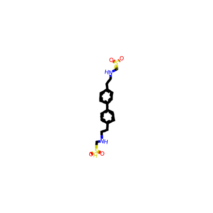 O=[SH](=O)CNCCc1ccc(-c2ccc(CCNC[SH](=O)=O)cc2)cc1